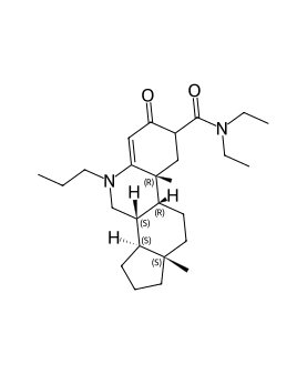 CCCN1C[C@@H]2[C@@H](CC[C@]3(C)CCC[C@@H]23)[C@@]2(C)CC(C(=O)N(CC)CC)C(=O)C=C12